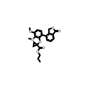 CCCOC(=O)C1(Oc2c(-c3cccc4c3COC4=O)ccc(OC)c2OC)CC1